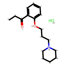 CCC(=O)c1ccccc1OCCCN1CCCCC1.Cl